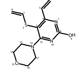 C=CSc1c(C=C)nc(O)nc1N1CCOCC1